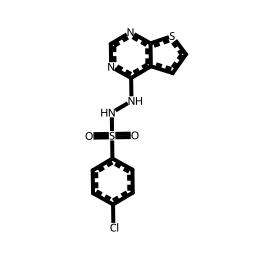 O=S(=O)(NNc1ncnc2sccc12)c1ccc(Cl)cc1